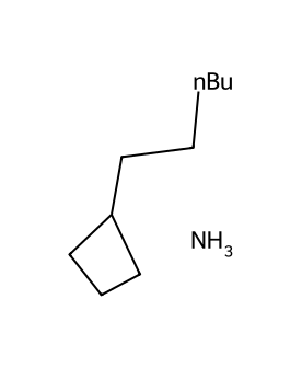 CCCCCCC1CCC1.N